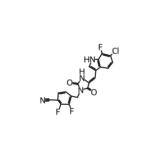 N#Cc1ccc(CN2C(=O)NC(=Cc3c[nH]c4c(F)c(Cl)ccc34)C2=O)c(F)c1F